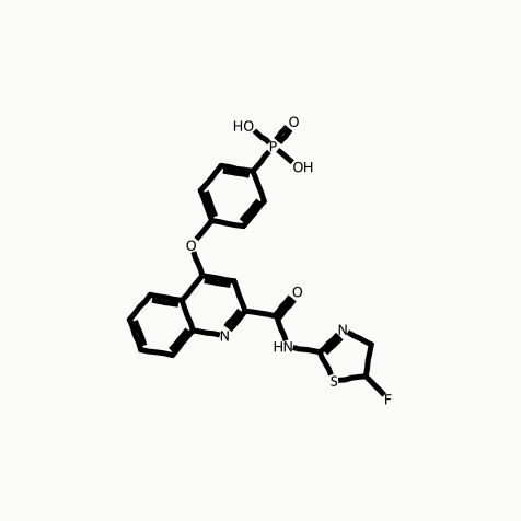 O=C(NC1=NCC(F)S1)c1cc(Oc2ccc(P(=O)(O)O)cc2)c2ccccc2n1